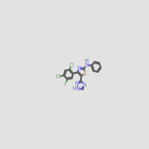 Fc1cc(-c2nc(Nc3ccccc3)sc2-c2nc[nH]n2)c(Cl)cc1Cl